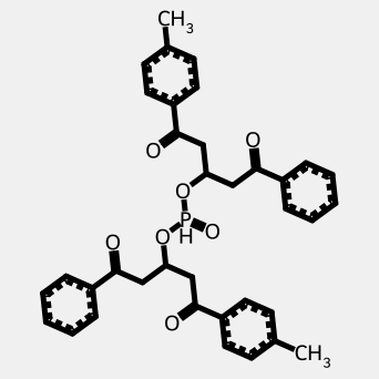 Cc1ccc(C(=O)CC(CC(=O)c2ccccc2)O[PH](=O)OC(CC(=O)c2ccccc2)CC(=O)c2ccc(C)cc2)cc1